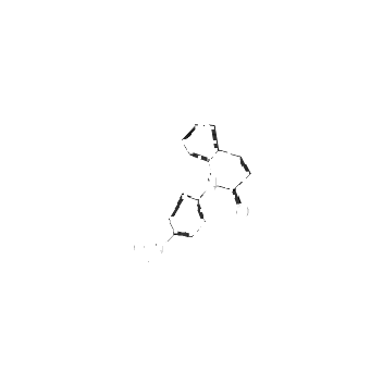 O=c1ccc2ccccc2n1-c1ccc([N+](=O)[O-])cc1